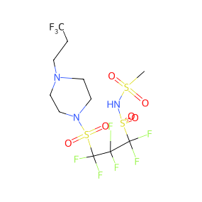 CS(=O)(=O)NS(=O)(=O)C(F)(F)C(F)(F)C(F)(F)S(=O)(=O)N1CCN(CCC(F)(F)F)CC1